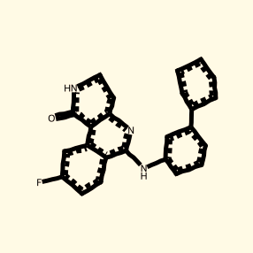 O=c1[nH]ccc2nc(Nc3cccc(-c4ccccc4)c3)c3ccc(F)cc3c12